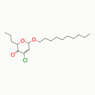 CCCCCCCCCCOC1C=C(Cl)C(=O)C(CCC)O1